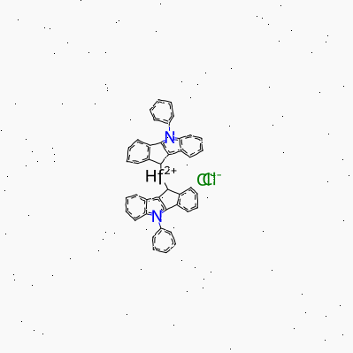 [Cl-].[Cl-].c1ccc(-n2c3c(c4ccccc42)[CH]([Hf+2][CH]2c4ccccc4-c4c2c2ccccc2n4-c2ccccc2)c2ccccc2-3)cc1